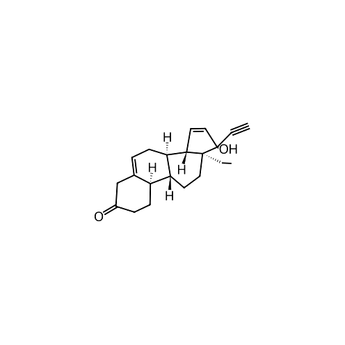 C#C[C@]1(O)C=C[C@H]2[C@@H]3CC=C4CC(=O)CC[C@@H]4[C@H]3CC[C@@]21CC